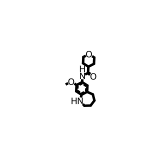 COc1cc2c(cc1NC(=O)C1CCOCC1)CCCCN2